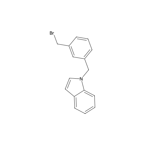 BrCc1cccc(Cn2ccc3ccccc32)c1